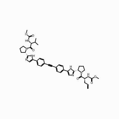 C=CC[C@H](NC(=O)OC)C(=O)N1CCC[C@H]1c1ncc(-c2ccc(C#Cc3ccc(-c4cnc([C@@H]5CCCN5C(=O)[C@@H](NC(=O)OC)C(C)C)[nH]4)cc3)cc2)[nH]1